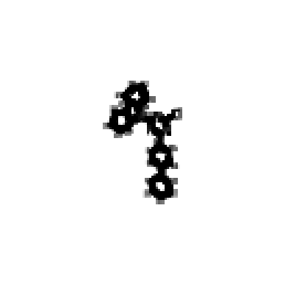 Clc1nc(-c2ccc(-c3ccccc3)cc2)nc(-n2c3ccccc3c3ccccc32)n1